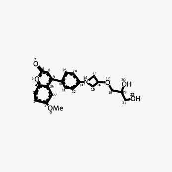 COc1ccc2oc(=O)cc(-c3ccc(N4CC(OCC(O)CO)C4)cc3)c2c1